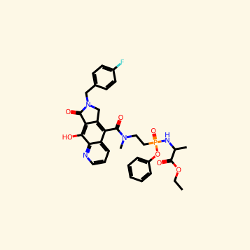 CCOC(=O)C(C)NP(=O)(CCN(C)C(=O)c1c2c(c(O)c3ncccc13)C(=O)N(Cc1ccc(F)cc1)C2)Oc1ccccc1